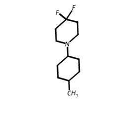 CC1CCC(N2CCC(F)(F)CC2)CC1